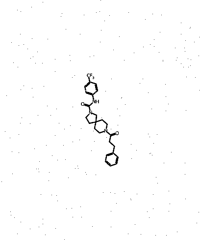 O=C(CCc1ccccc1)N1CCC2(CC1)CCN(C(=O)Nc1ccc(C(F)(F)F)cc1)C2